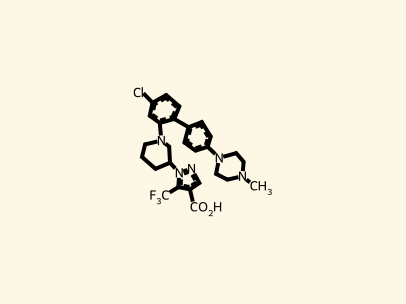 CN1CCN(c2ccc(-c3ccc(Cl)cc3N3CCCC(n4ncc(C(=O)O)c4C(F)(F)F)C3)cc2)CC1